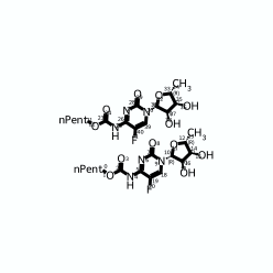 CCCCCOC(=O)Nc1nc(=O)n([C@@H]2O[C@H](C)[C@@H](O)[C@H]2O)cc1F.CCCCCOC(=O)Nc1nc(=O)n([C@@H]2O[C@H](C)[C@@H](O)[C@H]2O)cc1F